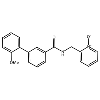 COc1ccccc1-c1cccc(C(=O)NCc2cccc[n+]2[O-])c1